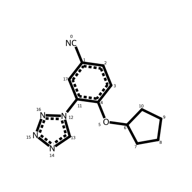 N#Cc1ccc(OC2CCCC2)c(-n2cnnn2)c1